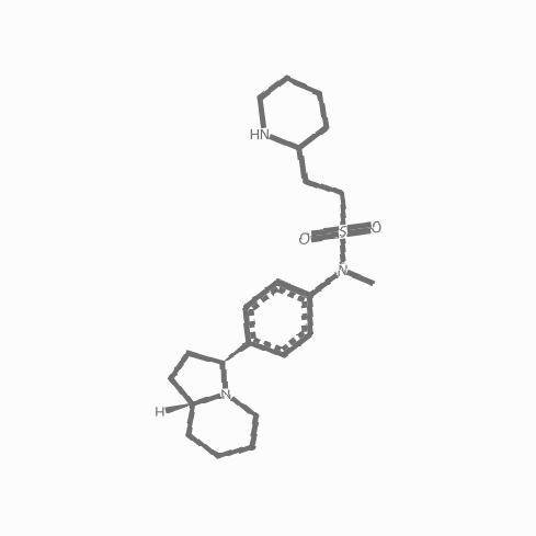 CN(c1ccc([C@@H]2CC[C@H]3CCCCN32)cc1)S(=O)(=O)CCC1CCCCN1